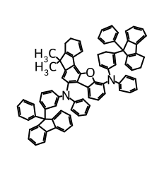 CC1(C)C2=C(C=CCC2)c2c1cc(N(c1ccccc1)c1cccc(C3(c4ccccc4)c4ccccc4-c4ccccc43)c1)c1c2oc2c(N(C3=CCCC(C4(c5ccccc5)C5=C(CCC=C5)c5ccccc54)=C3)c3ccccc3)cccc21